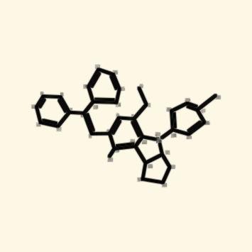 CCc1cc(C=C(c2ccccc2)c2ccccc2)c(C)c2c1N(c1ccc(C)cc1)C1CCCC21